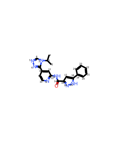 CC(C)n1cnnc1-c1ccnc(NC(=O)c2cc(-c3ccccc3)[nH]n2)c1